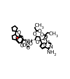 CCC(=O)O[C@H]1[C@@H](OC(=O)CC)[C@](C#N)(c2ccc3c(N)ncnn23)O[C@@H]1CO[P@](=O)(N[C@H](C=O)CC(=O)OC1(C2CCCC2)CCCC1)Oc1ccccc1